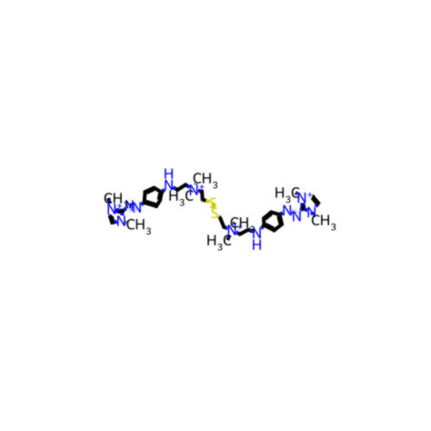 Cn1cc[n+](C)c1/N=N/c1ccc(NCC[N+](C)(C)CCSSCC[N+](C)(C)CCNc2ccc(/N=N/c3n(C)cc[n+]3C)cc2)cc1